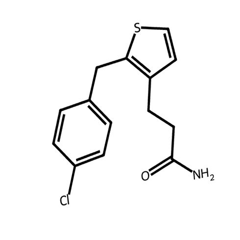 NC(=O)CCc1ccsc1Cc1ccc(Cl)cc1